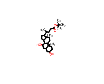 CC(CCC(=O)OC(C)(C)C)C1CCC2C3C(O)CC4CC(O)CCC4(C)C3CCC12C